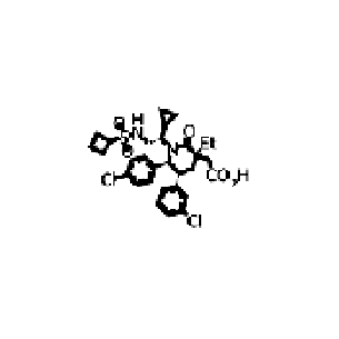 CC[C@@]1(CC(=O)O)C[C@H](c2cccc(Cl)c2)[C@@H](c2ccc(Cl)cc2)N([C@H](CNS(=O)(=O)C2CCC2)C2CC2)C1=O